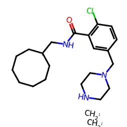 O=C(NC[C]1CCCCCCC1)c1cc(CN2CCNCC2)ccc1Cl.[CH2].[CH2]